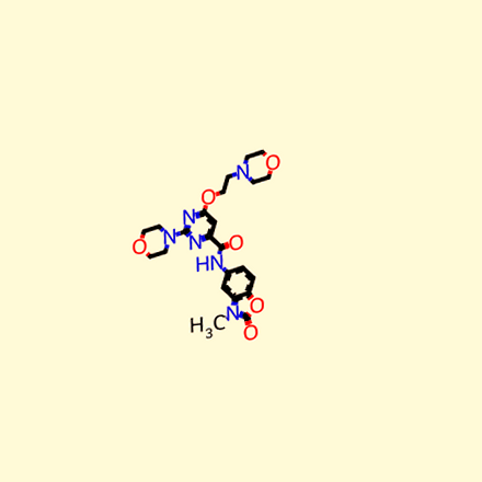 Cn1c(=O)oc2ccc(NC(=O)c3cc(OCCN4CCOCC4)nc(N4CCOCC4)n3)cc21